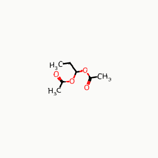 CCC(OC(C)=O)OC(C)=O